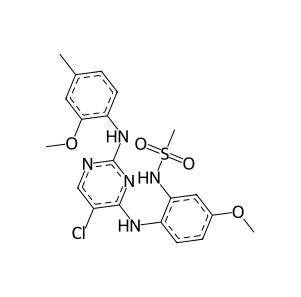 COc1ccc(Nc2nc(Nc3ccc(C)cc3OC)ncc2Cl)c(NS(C)(=O)=O)c1